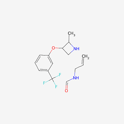 C=CCNC=O.CC1NCC1Oc1cccc(C(F)(F)F)c1